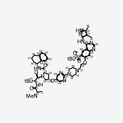 CN[C@@H](C)C(=O)N[C@H](C(=O)N1C[C@@H](Oc2cnc(N3CCN(CCOc4cc5ncnc(Nc6n[nH]c(C)c6C)c5cc4S(=O)(=O)C(C)(C)C)CC3)nc2)C[C@H]1C(=O)N[C@@H]1CCCc2ccccc21)C(C)(C)C